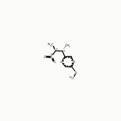 COc1cnc([C@@H](C)[C@H](C)[SH](=O)=O)cn1